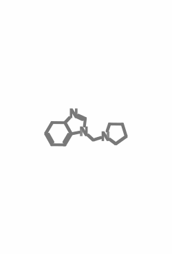 C1=CCC2N=CN(CN3CCCC3)C2=C1